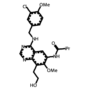 COc1ccc(CNc2ncnc3c(CCO)c(OC)c(NC(=O)C(C)C)cc23)cc1Cl